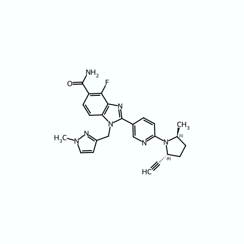 C#C[C@H]1CC[C@H](C)N1c1ccc(-c2nc3c(F)c(C(N)=O)ccc3n2Cc2ccn(C)n2)cn1